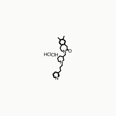 Cc1cc2c(cc1C)CC(=O)N(CC1CCCN(CCCc3cccnc3)C1)CC2.Cl.Cl